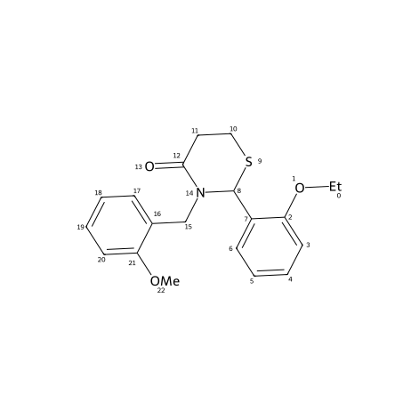 CCOc1ccccc1C1SCCC(=O)N1Cc1ccccc1OC